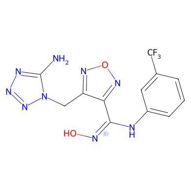 Nc1nnnn1Cc1nonc1/C(=N\O)Nc1cccc(C(F)(F)F)c1